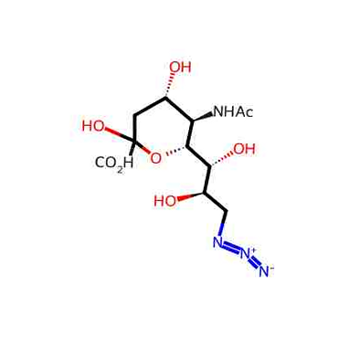 CC(=O)N[C@H]1[C@H]([C@H](O)[C@H](O)CN=[N+]=[N-])OC(O)(C(=O)O)C[C@@H]1O